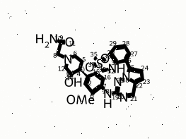 COc1cc([C@@H]2CCN(CC(N)=O)C[C@@H]2O)ccc1Nc1ncc2ccc(-c3ccccc3NCS(C)(=O)=O)n2n1